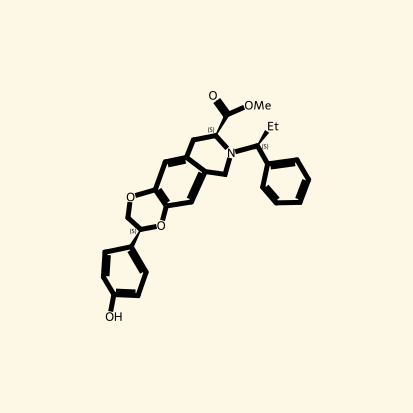 CC[C@@H](c1ccccc1)N1Cc2cc3c(cc2C[C@H]1C(=O)OC)OC[C@H](c1ccc(O)cc1)O3